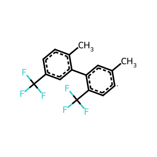 Cc1[c]cc(C(F)(F)F)c(-c2cc(C(F)(F)F)ccc2C)c1